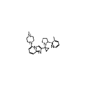 Cc1cccnc1C1CCCN1C1(c2cn3c(N4CCN(C)CC4)cccc3n2)CC1